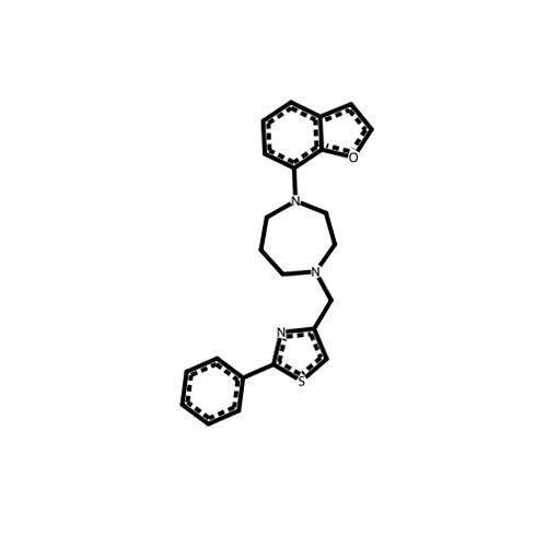 c1ccc(-c2nc(CN3CCCN(c4cccc5ccoc45)CC3)cs2)cc1